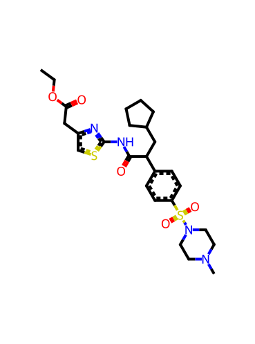 CCOC(=O)Cc1csc(NC(=O)C(CC2CCCC2)c2ccc(S(=O)(=O)N3CCN(C)CC3)cc2)n1